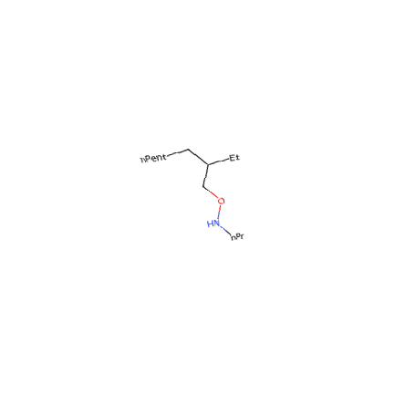 CCCCCCC(CC)CONCCC